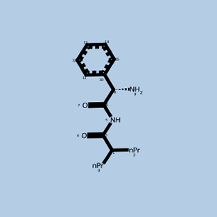 CCCC(CCC)C(=O)NC(=O)[C@@H](N)c1ccccc1